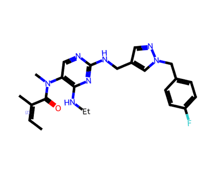 C/C=C(/C)C(=O)N(C)c1cnc(NCc2cnn(Cc3ccc(F)cc3)c2)nc1NCC